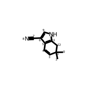 CC1(C)C=Cc2c(C#N)c[nH]c2C1